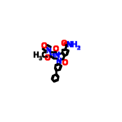 COCCCN(C(=O)c1ccc(C(N)=O)cc1NC(=O)CN1CCOCC1)c1ccc(-c2ccccc2)cc1